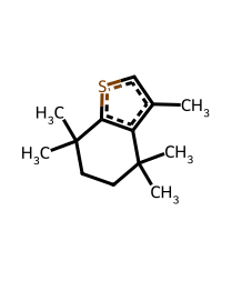 Cc1csc2c1C(C)(C)CCC2(C)C